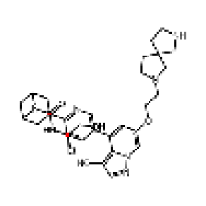 CC[C@H](CO)NC(=O)N1C2CC1CN(c1ccc(-c3cc(OCCN4CCC5(CCNC5)C4)cn4ncc(C#N)c34)cn1)C2